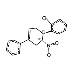 O=[N+]([O-])[C@@H]1CC(c2ccccc2)=CC[C@H]1c1ccccc1Cl